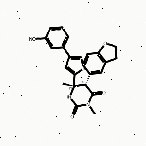 CN1C(=O)N[C@](C)(c2cc(-c3cccc(C#N)c3)cs2)[C@H](c2ccc3c(c2)CCO3)C1=O